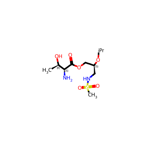 CC(C)O[C@@H](CNS(C)(=O)=O)COC(=O)[C@@H](N)[C@@H](C)O